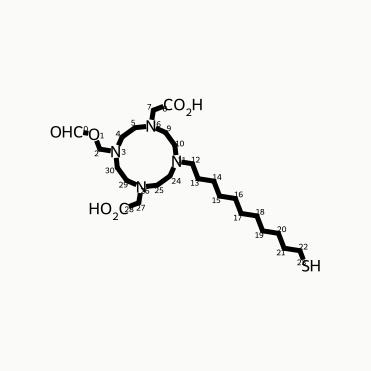 O=COCN1CCN(CC(=O)O)CCN(CCCCCCCCCCCS)CCN(CC(=O)O)CC1